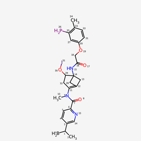 BC(C)c1ccc(C(=O)N(C)C2=C3CC(NC(=O)COc4ccc(C)c(P)c4)(C3)C(OI)C2)nc1